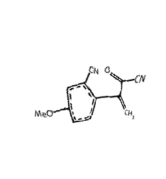 C=C(C(=O)C#N)c1ccc(OC)cc1C#N